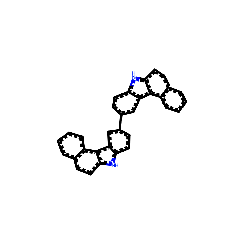 c1ccc2c(c1)ccc1[nH]c3ccc(-c4ccc5[nH]c6ccc7ccccc7c6c5c4)cc3c12